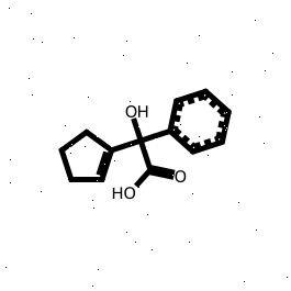 O=C(O)C(O)(C1=CCCC1)c1ccccc1